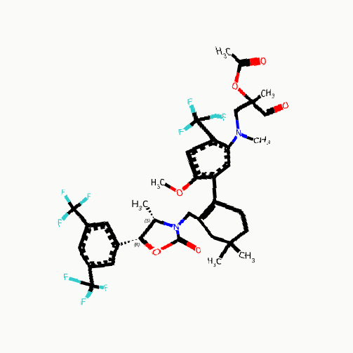 COc1cc(C(F)(F)F)c(N(C)CC(C)(C=O)OC(C)=O)cc1C1=C(CN2C(=O)O[C@H](c3cc(C(F)(F)F)cc(C(F)(F)F)c3)[C@@H]2C)CC(C)(C)CC1